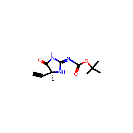 C#C[C@]1(C)N/C(=N\C(=O)OC(C)(C)C)NC1=O